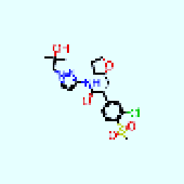 CC(C)(O)Cn1ccc(NC(=O)[C@H](C[C@H]2CCCO2)c2ccc(S(C)(=O)=O)c(Cl)c2)n1